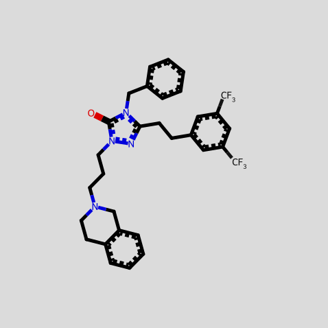 O=c1n(CCCN2CCc3ccccc3C2)nc(CCc2cc(C(F)(F)F)cc(C(F)(F)F)c2)n1Cc1ccccc1